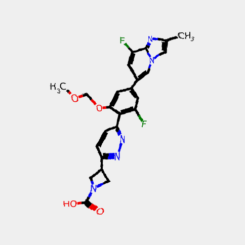 COCOc1cc(-c2cc(F)c3nc(C)cn3c2)cc(F)c1-c1ccc(C2CN(C(=O)O)C2)nn1